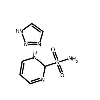 NS(=O)(=O)C1N=CC=CN1.c1c[nH]nn1